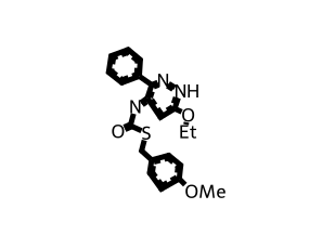 CCOc1cc(=NC(=O)SCc2ccc(OC)cc2)c(-c2ccccc2)n[nH]1